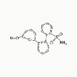 COc1cccc(-c2ccccc2-c2ccccc2S(N)(=O)=O)c1